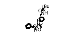 CC(C)(C)OC(=O)NC[C@H]1CC[C@H](C[C@@H](CO)NC(=O)OCc2ccccc2)CC1